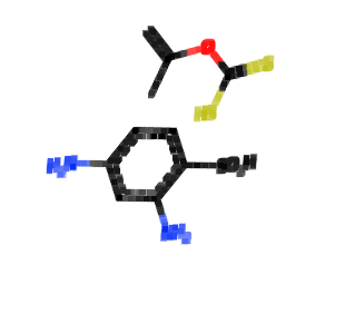 C=C(C)OC(=S)S.Nc1ccc(S(=O)(=O)O)c(N)c1